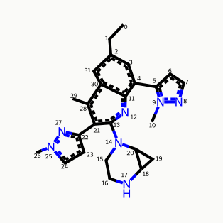 CCc1cc(-c2ccnn2C)c2nc(N3CCNC4CC43)c(-c3ccn(C)n3)c(C)c2c1